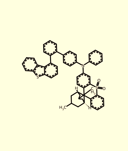 CC1C[C@H]2CC(C)C[C@H](C1)C21c2ccccc2S(=O)(=O)c2cc(N(c3ccccc3)c3ccc(-c4ccccc4-c4cccc5sc6ccccc6c45)cc3)ccc21